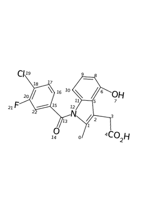 Cc1c(CC(=O)O)c2c(O)cccc2n1C(=O)c1ccc(Cl)c(F)c1